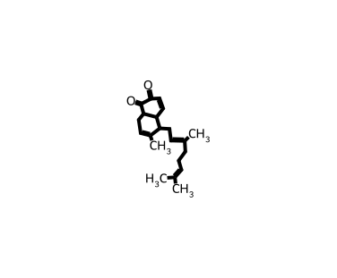 CC(C)=CCC/C(C)=C/CC1C(C)=CCC2C(=O)C(=O)C=CC21